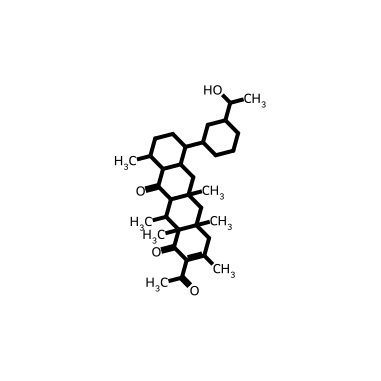 CC(=O)C1=C(C)CC2(C)CC3(C)CC4C(C5CCCC(C(C)O)C5)CCC(C)C4C(=O)C3C(C)C2(C)C1=O